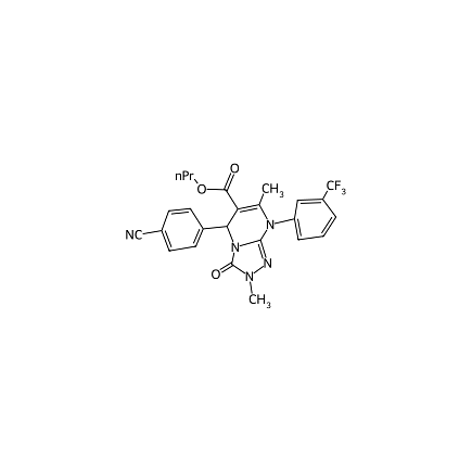 CCCOC(=O)C1=C(C)N(c2cccc(C(F)(F)F)c2)c2nn(C)c(=O)n2C1c1ccc(C#N)cc1